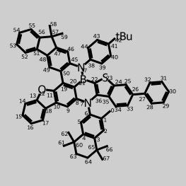 Cc1cc2c(cc1N1c3cc4c(oc5ccccc54)c4c3B(c3sc5cc(-c6ccccc6)ccc5c31)N(c1ccc(C(C)(C)C)cc1)c1cc3c(cc1-4)-c1ccccc1C3(C)C)C(C)(C)CCC2(C)C